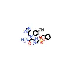 Cn1cncc1CN(c1ccc(C#N)cc1)C(C(N)=O)c1nc(S(=O)(=O)OCc2ccccc2)cn1C